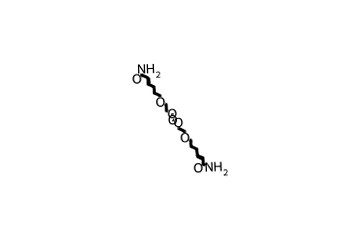 NC(=O)C=CCCCOCCOOOCCOCCCC=CC(N)=O